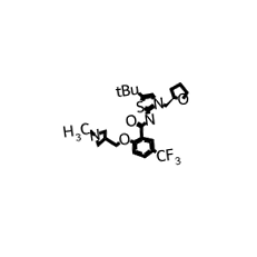 CN1CC(COc2ccc(C(F)(F)F)cc2C(=O)N=c2sc(C(C)(C)C)cn2C[C@H]2CCCO2)C1